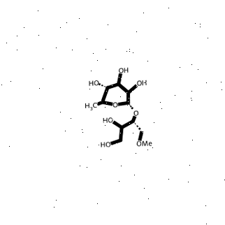 COC[C@@H](O[C@@H]1OC(C)[C@H](O)C(O)C1O)C(O)CO